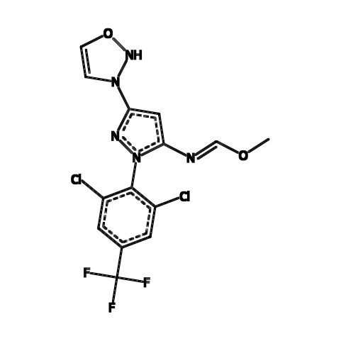 COC=Nc1cc(N2C=CON2)nn1-c1c(Cl)cc(C(F)(F)F)cc1Cl